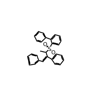 CC(C(=Cc1ccccc1)c1ccccc1)S(=O)(=O)c1ccccc1-c1ccccc1